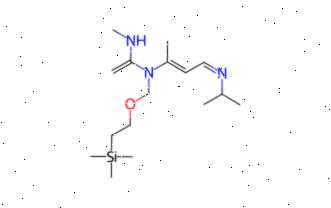 C=C(NC)N(COCC[Si](C)(C)C)/C(C)=C/C=N\C(C)C